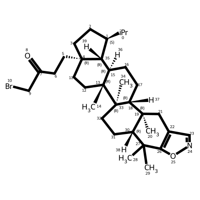 CC(C)[C@@H]1CC[C@]2(CCC(=O)CBr)CC[C@]3(C)[C@H](CC[C@@H]4[C@@]5(C)Cc6cnoc6C(C)(C)[C@@H]5CC[C@]43C)[C@@H]12